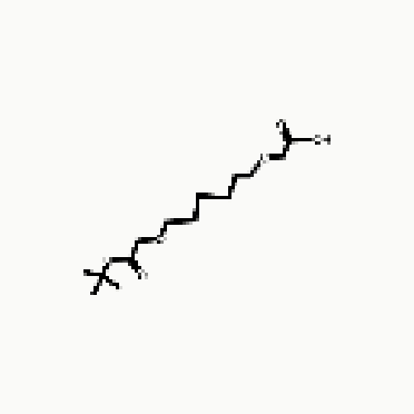 CC(C)(C)OC(=O)COCCCCCCOCC(=O)O